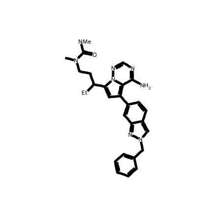 CCC(CCN(C)C(=O)NC)c1cc(-c2ccc3cn(Cc4ccccc4)nc3c2)c2c(N)ncnn12